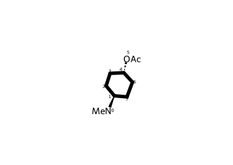 CN[C@H]1CC[C@H](OC(C)=O)CC1